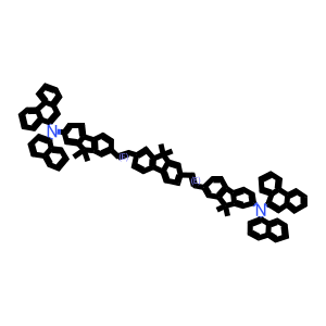 CC1(C)c2cc(/C=C/c3ccc4c(c3)C(C)(C)c3cc(N(c5cccc6ccccc56)c5cc6ccccc6c6ccccc56)ccc3-4)ccc2-c2ccc(/C=C/c3ccc4c(c3)C(C)(C)c3cc(N(c5cccc6ccccc56)c5cc6ccccc6c6ccccc56)ccc3-4)cc21